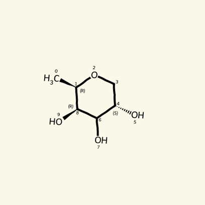 C[C@H]1OC[C@H](O)C(O)[C@H]1O